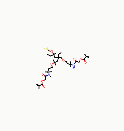 C=C(C)C(=O)OCC(=O)NC(C)(C)CCOCC(CC)(CC(C)(C)OCCC(C)(C)N(C)C(=O)COC(=O)C(=C)C)CC(C)(CC)OCS